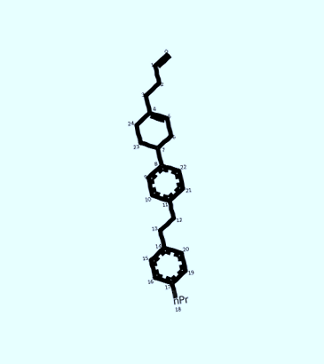 C=CCCC1=CCC(c2ccc(CCc3ccc(CCC)cc3)cc2)CC1